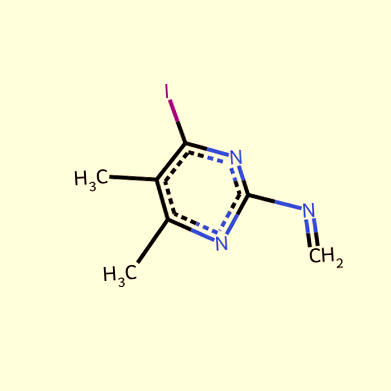 C=Nc1nc(C)c(C)c(I)n1